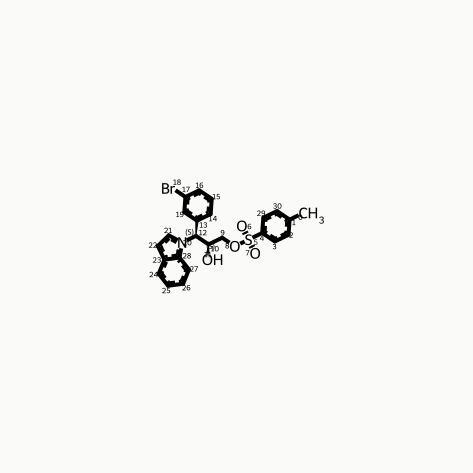 Cc1ccc(S(=O)(=O)OC[C@@H](O)[C@H](c2cccc(Br)c2)n2ccc3ccccc32)cc1